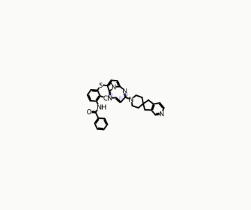 CN1C2=CC=C(Sc3cccc(NC(=O)c4ccccc4)c3Cl)/C1=N/C=C/C(N1CCC3(CC1)Cc1ccncc1C3)=N\2